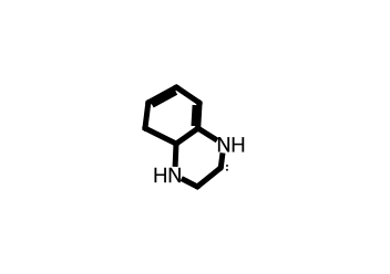 [C]1CNC2CC=CC=C2N1